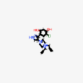 C#CC[N+]1(CC#C)CCN(c2c[nH]nc2-c2cc(Cl)c(O)cc2O)CC1